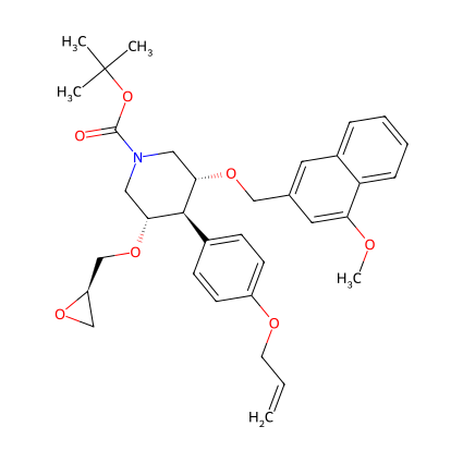 C=CCOc1ccc([C@@H]2[C@@H](OCc3cc(OC)c4ccccc4c3)CN(C(=O)OC(C)(C)C)C[C@H]2OC[C@H]2CO2)cc1